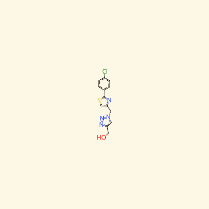 OCc1cn(Cc2csc(-c3ccc(Cl)cc3)n2)nn1